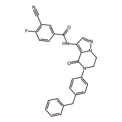 N#Cc1cc(C(=O)Nc2cnn3c2C(=O)N(c2ccc(Cc4ccccc4)cc2)CC3)ccc1F